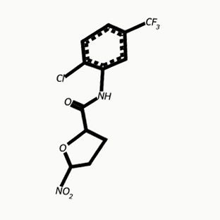 O=C(Nc1cc(C(F)(F)F)ccc1Cl)C1CCC([N+](=O)[O-])O1